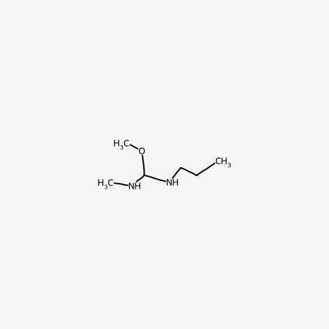 CCCNC(NC)OC